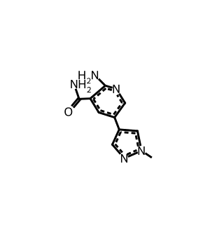 Cn1cc(-c2cnc(N)c(C(N)=O)c2)cn1